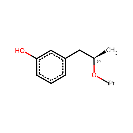 CC(C)O[C@H](C)Cc1cccc(O)c1